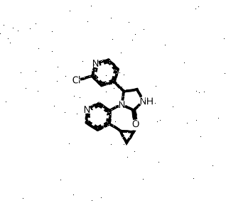 O=C1NCC(c2ccnc(Cl)c2)N1c1cnccc1C1CC1